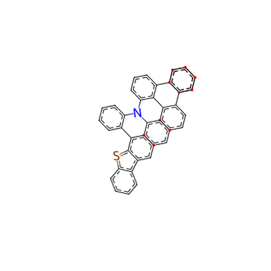 c1ccc(-c2ccccc2-c2c(-c3ccccc3)cccc2N(c2ccccc2)c2ccccc2-c2cccc3c2sc2ccccc23)cc1